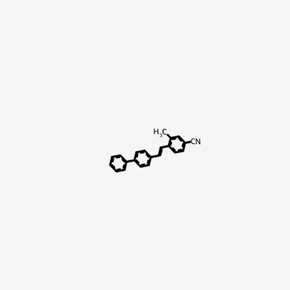 Cc1cc(C#N)ccc1C=Cc1ccc(-c2ccccc2)cc1